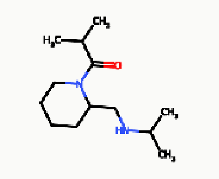 CC(C)NCC1CCCCN1C(=O)C(C)C